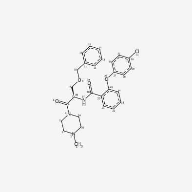 CN1CCN(C(=O)[C@@H](COCc2ccccc2)NC(=O)c2ccccc2Oc2ccc(Cl)cc2)CC1